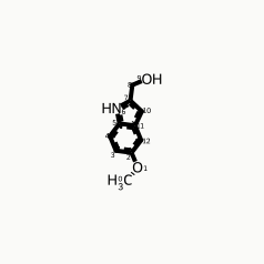 COc1ccc2[nH]c(CO)cc2c1